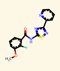 COc1cccc(C(=O)Nc2nc(-c3ccccn3)ns2)c1F